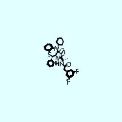 C[C@H](NC(=O)Cc1cc(F)cc(F)c1)C(=O)N[C@@H]1C(=O)N(C2CCCCC2)c2ccccc2S[C@@H]1c1ccccc1